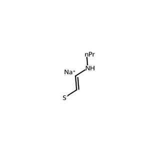 CCCNC=C[S-].[Na+]